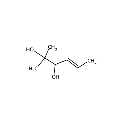 [CH2]/C=C/C(O)C(C)(C)O